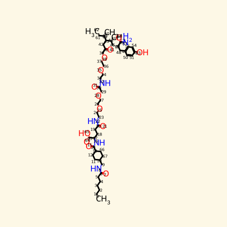 CCCCCCC(=O)NCC1CCC(C(=O)NC(CCC(=O)NCCOCCOCC(=O)NCCOCCOCC(=O)CC(C(C)C[C@@H](Cc2ccc(O)cc2)C(N)=O)[C@@H](C)CC)C(=O)O)CC1